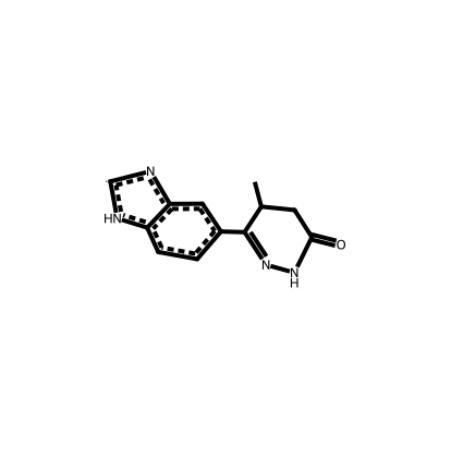 CC1CC(=O)NN=C1c1ccc2[nH][c]nc2c1